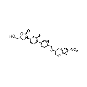 O=C1OC(CO)CN1c1ccc(-c2ccc(COC3COc4nc([N+](=O)[O-])cn4C3)nc2)c(F)c1